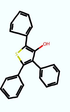 Oc1c(-c2ccccc2)sc(-c2ccccc2)c1-c1ccccc1